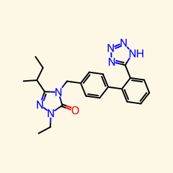 CCC(C)c1nn(CC)c(=O)n1Cc1ccc(-c2ccccc2-c2nnn[nH]2)cc1